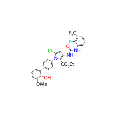 CCOC(=O)c1c(NC(=O)Nc2cccc(C(F)(F)F)c2F)cc(Cl)n1-c1ccc(-c2cccc(OC)c2O)cc1